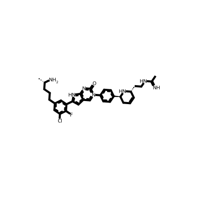 CC(=N)NCC[C@@H]1C=CC[C@@H](c2ccc(-n3cc4cc(-c5cc(CCC[C@H](C)N)cc(Cl)c5F)[nH]c4nc3=O)cc2)N1